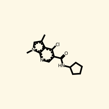 Cc1cn(C)c2ncc(C(=O)NC3CCCC3)c(Cl)c12